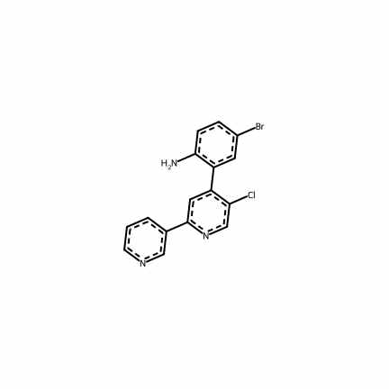 Nc1ccc(Br)cc1-c1cc(-c2cccnc2)ncc1Cl